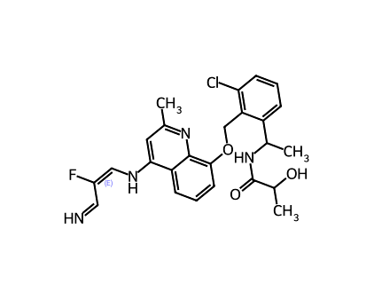 Cc1cc(N/C=C(/F)C=N)c2cccc(OCc3c(Cl)cccc3C(C)NC(=O)C(C)O)c2n1